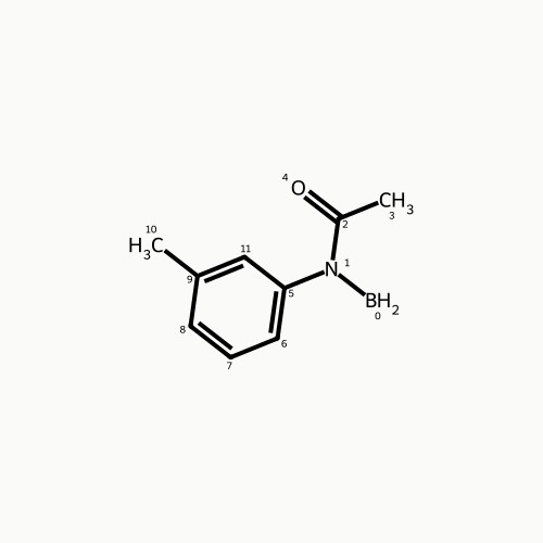 BN(C(C)=O)c1cccc(C)c1